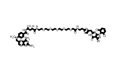 CC(C)c1nn(-c2c(Cl)cccc2Cl)c2nc(Cc3csc(CCNC(=O)COCCOCCOCCOCCOCCNC(=O)CCC(NC(=O)c4ccc(N(C)Cc5cnc6nc(N)nc(N)c6n5)cc4)C(=O)O)n3)[nH]c(=O)c12